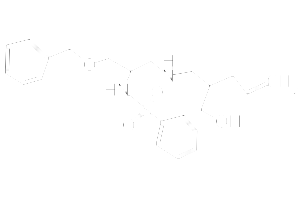 C=CCC(CO)CNCC(COCc1ccccc1)NS(=O)(=O)c1ccccc1